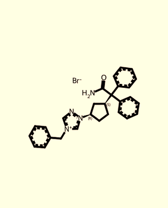 NC(=O)C(c1ccccc1)(c1ccccc1)[C@H]1CC[C@@H](n2c[n+](Cc3ccccc3)cn2)C1.[Br-]